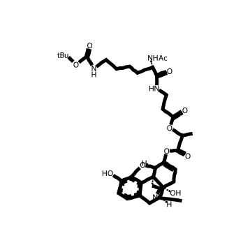 CC(=O)N[C@@H](CCCCNC(=O)OC(C)(C)C)C(=O)NCCC(=O)OC(C)C(=O)OC1=CC[C@@]2(O)[C@H]3Cc4ccc(O)c5c4[C@@]2(CCN3C)[C@H]1O5